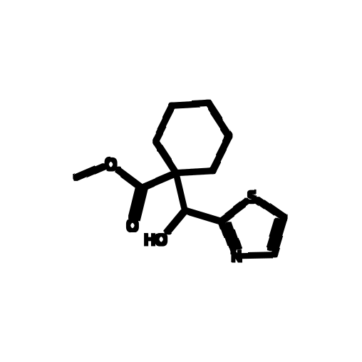 COC(=O)C1(C(O)c2nccs2)CCCCC1